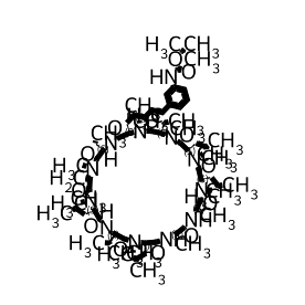 C=C1C(=O)N(C)[C@@H](CC(C)C)C(=O)N[C@H](C(C)C)C(=O)N(C)[C@H](CC(C)C)C(=O)N[C@H](C)C(=O)N[C@@H](C)C(=O)N(C)[C@@H](CC(C)C)C(=O)N(C)[C@@H](CC(C)C)C(=O)N(C)[C@@H](C(C)C)C(=O)N(C)[C@@H](C[C@H](C)CCCc2cccc(NC(=O)OC(C)(C)C)c2)C(=O)N[C@@H](CC)C(=O)N1C